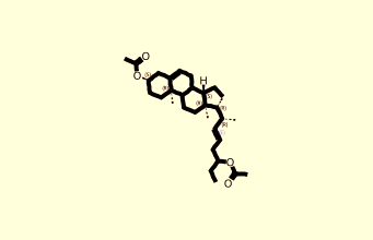 CCC(C/C=C/[C@@H](C)[C@H]1CC[C@H]2C3CC=C4C[C@@H](OC(C)=O)CC[C@]4(C)C3CC[C@]12C)OC(C)=O